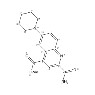 COC(=O)c1cc(C(N)=O)nc2ccc(N3CCCCC3)cc12